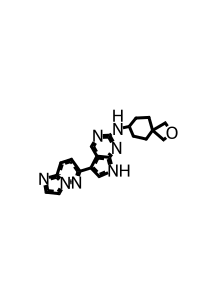 c1cn2nc(-c3c[nH]c4nc(NC5CCC6(CC5)COC6)ncc34)ccc2n1